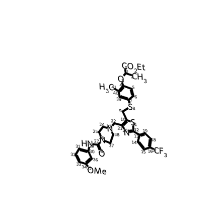 CCOC(=O)C(C)Oc1ccc(SCc2sc(-c3ccc(C(F)(F)F)cc3)nc2CN2CCN(C(=O)Nc3cccc(OC)c3)CC2)cc1C